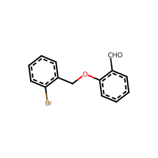 O=Cc1ccccc1OCc1ccccc1Br